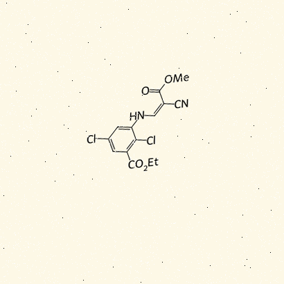 CCOC(=O)c1cc(Cl)cc(NC=C(C#N)C(=O)OC)c1Cl